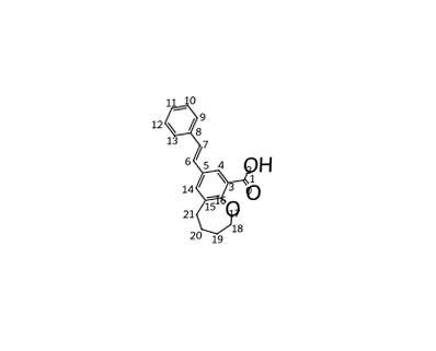 O=C(O)c1cc(/C=C/c2ccccc2)cc2c1OCCCC2